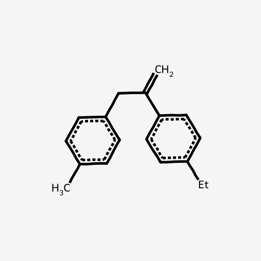 C=C(Cc1ccc(C)cc1)c1ccc(CC)cc1